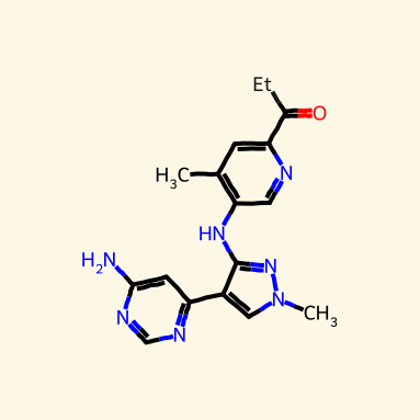 CCC(=O)c1cc(C)c(Nc2nn(C)cc2-c2cc(N)ncn2)cn1